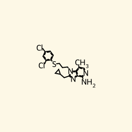 Cc1cnc(N)c2nc(CC3CC3)n(CCCSc3ccc(Cl)cc3Cl)c12